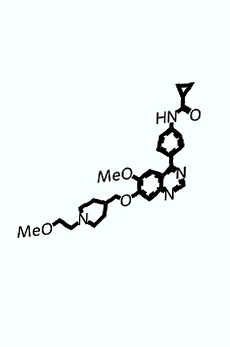 COCCN1CCC(COc2cc3ncnc(-c4ccc(NC(=O)C5CC5)cc4)c3cc2OC)CC1